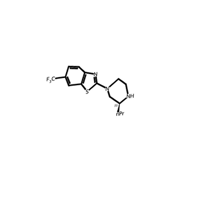 CCC[C@H]1CN(c2nc3ccc(C(F)(F)F)cc3s2)CCN1